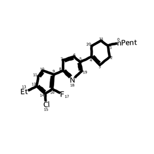 CCCCCC1CC=C(c2ccc(-c3ccc(CC)c(Cl)c3F)nc2)CC1